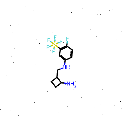 NC1CCC1CNc1ccc(F)c(S(F)(F)(F)(F)F)c1